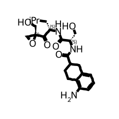 CC(C)C[C@H](NC(=O)[C@H](CO)NC(=O)C1CCc2c(N)cccc2C1)C(=O)[C@@]1(CO)CO1